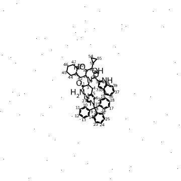 NC(=O)C(Cc1cn(C(c2ccccc2)(c2ccccc2)c2ccccc2)cn1)N(C(=O)c1cc2ccccc2[nH]1)[C@@H](CC1CCCCC1)[C@@H](O)[C@@H](O)C1CC1